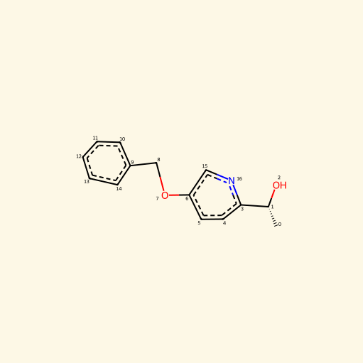 C[C@@H](O)c1ccc(OCc2ccccc2)cn1